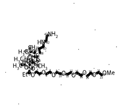 CCC(OCCOCCOCCOCCOCCOCCOCCOC)[Si](C)(O[Si](C)(C)C)O[Si](C)(C)O[Si](C)(CCCNCCN)O[Si](C)(C)C